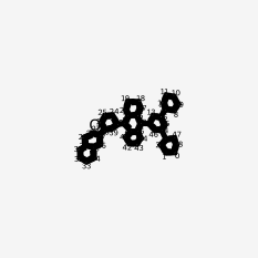 c1ccc(-c2cc(-c3ccccc3)cc(-c3c4ccccc4c(-c4ccc5oc6cc7ccccc7cc6c5c4)c4ccccc34)c2)cc1